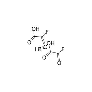 O=C(O)C(=O)F.O=C(O)C(=O)F.[B+3].[Li+]